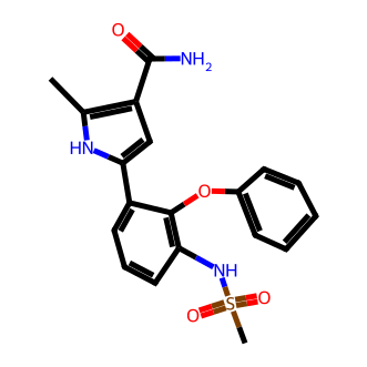 Cc1[nH]c(-c2cccc(NS(C)(=O)=O)c2Oc2ccccc2)cc1C(N)=O